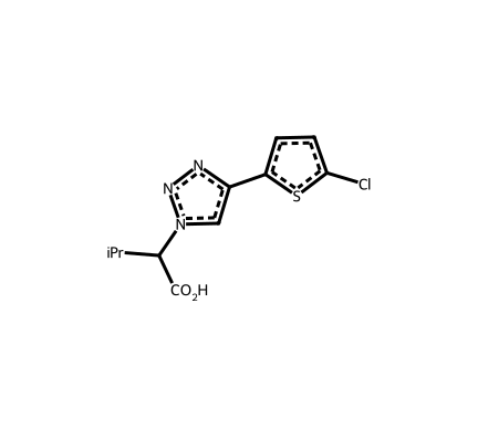 CC(C)C(C(=O)O)n1cc(-c2ccc(Cl)s2)nn1